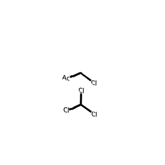 CC(=O)CCl.ClC(Cl)Cl